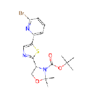 CC(C)(C)OC(=O)N1C(c2ncc(-c3cccc(Br)n3)s2)COC1(C)C